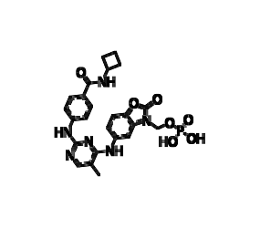 Cc1cnc(Nc2ccc(C(=O)NC3CCC3)cc2)nc1Nc1ccc2oc(=O)n(COP(=O)(O)O)c2c1